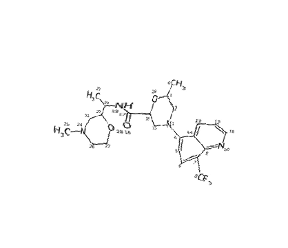 CC1CN(c2ccc(C(F)(F)F)c3ncccc23)CC(C(=O)NC(C)C2CN(C)CCO2)O1